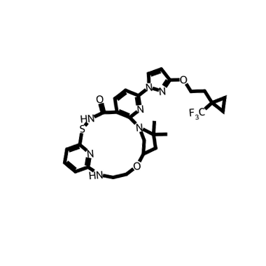 CC1(C)CC2CN1c1nc(-n3ccc(OCCC4(C(F)(F)F)CC4)n3)ccc1C(=O)NSc1cccc(n1)NCCO2